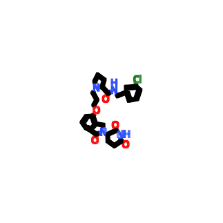 O=C1CCC(N2Cc3c(OCCCN4CCCC4C(=O)NCc4cccc(Cl)c4)cccc3C2=O)C(=O)N1